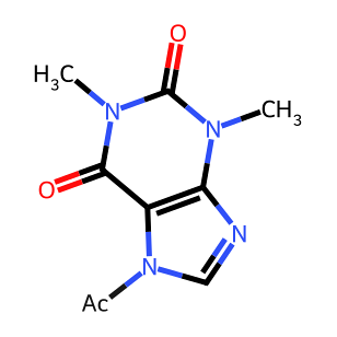 CC(=O)n1cnc2c1c(=O)n(C)c(=O)n2C